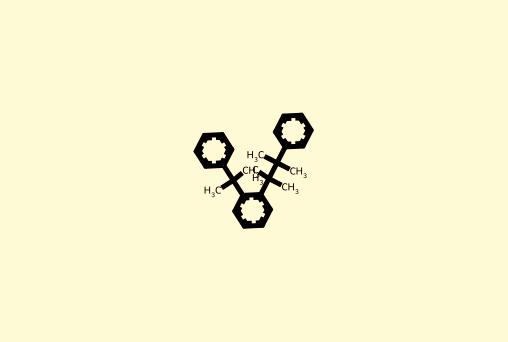 CC(C)(c1ccccc1)c1ccccc1C(C)(C)C(C)(C)c1ccccc1